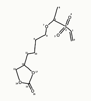 C=CS(=O)(=O)C(C)OCCCCC1COC(=O)O1